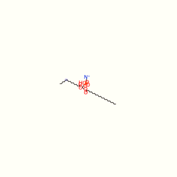 CCCC/C=C\CCCCCCCC(=O)OC(COC(=O)CCCCCCCCCCCCCCCCCCC)COP(=O)(O)OCC[N+](C)(C)C